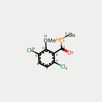 CCC(C)PC(=O)c1c(Cl)ccc(Cl)c1OC